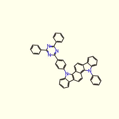 c1ccc(-c2nc(-c3ccccc3)nc(-c3ccc(-n4c5ccccc5c5ccc6c(ccc7c8ccccc8n(-c8ccccc8)c76)c54)cc3)n2)cc1